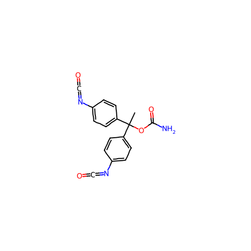 CC(OC(N)=O)(c1ccc(N=C=O)cc1)c1ccc(N=C=O)cc1